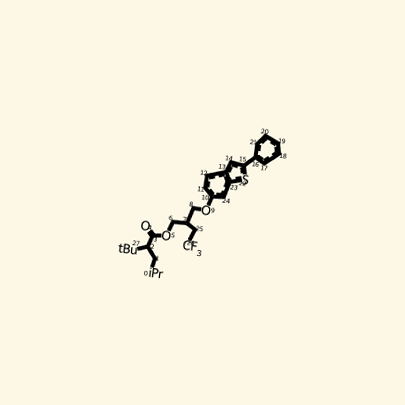 CC(C)CC(C(=O)OCC(COc1ccc2cc(-c3ccccc3)sc2c1)CC(F)(F)F)C(C)(C)C